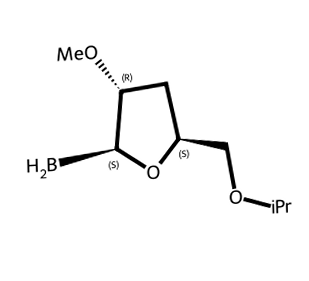 B[C@@H]1O[C@H](COC(C)C)C[C@H]1OC